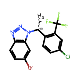 C[C@H](c1ccc(Cl)cc1C(F)(F)F)n1nnc2ccc(Br)cc21